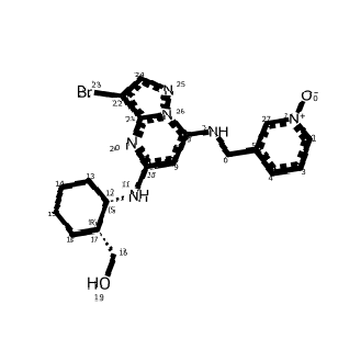 [O-][n+]1cccc(CNc2cc(N[C@H]3CCCC[C@H]3CO)nc3c(Br)cnn23)c1